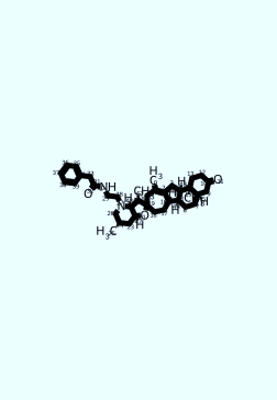 CC1=C2C[C@H]3[C@@H](CC[C@@H]4CC(=O)CC[C@@]43C)[C@@H]2CCC2(C1)O[C@@H]1C[C@H](C)CN(CCNC(=O)Cc3ccccc3)[C@H]1[C@H]2C